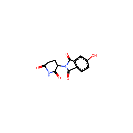 O=C1CCC(N2C(=O)c3ccc(O)cc3C2=O)C(=O)N1